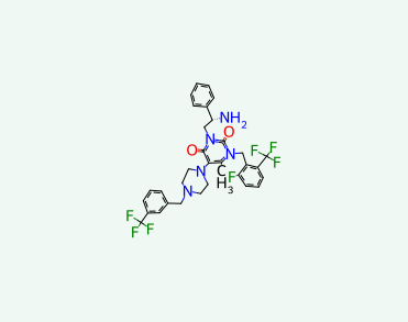 Cc1c(N2CCN(Cc3cccc(C(F)(F)F)c3)CC2)c(=O)n(C[C@@H](N)c2ccccc2)c(=O)n1Cc1c(F)cccc1C(F)(F)F